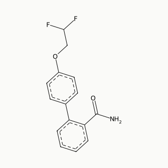 NC(=O)c1ccccc1-c1ccc(OCC(F)F)cc1